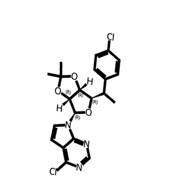 CC(c1ccc(Cl)cc1)[C@H]1O[C@@H](n2ccc3c(Cl)ncnc32)[C@@H]2OC(C)(C)O[C@@H]21